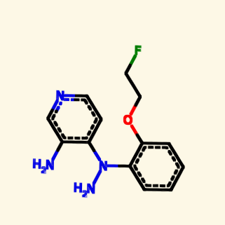 Nc1cnccc1N(N)c1ccccc1OCCF